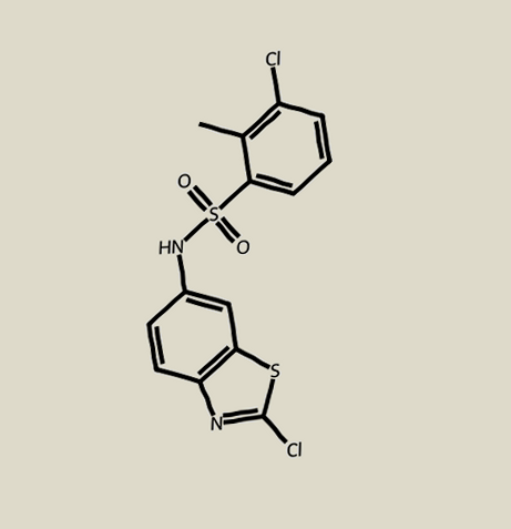 Cc1c(Cl)cccc1S(=O)(=O)Nc1ccc2nc(Cl)sc2c1